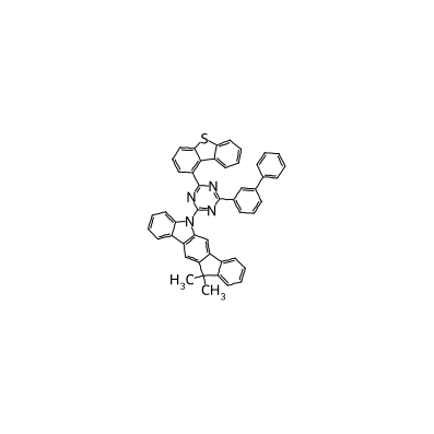 CC1(C)c2ccccc2-c2cc3c(cc21)c1ccccc1n3-c1nc(-c2cccc(-c3ccccc3)c2)nc(-c2cccc3sc4ccccc4c23)n1